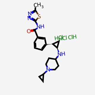 Cc1nnc(NC(=O)c2cccc([C@@H]3C[C@H]3NC3CCN(C4CC4)CC3)c2)s1.Cl.Cl.Cl